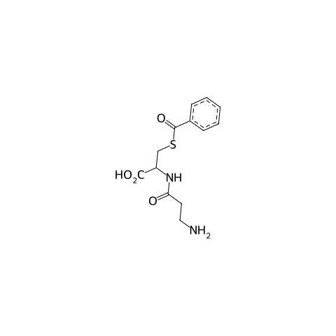 NCCC(=O)NC(CSC(=O)c1ccccc1)C(=O)O